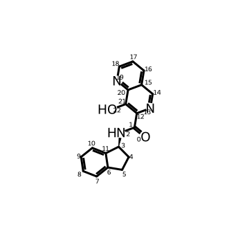 O=C(N[C@H]1CCc2ccccc21)c1ncc2cccnc2c1O